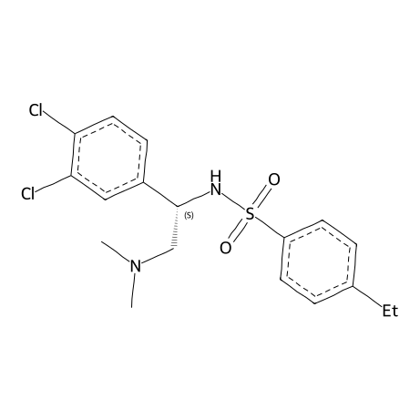 CCc1ccc(S(=O)(=O)N[C@H](CN(C)C)c2ccc(Cl)c(Cl)c2)cc1